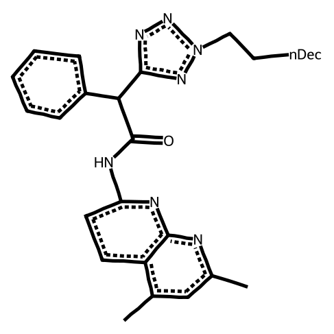 CCCCCCCCCCCCn1nnc(C(C(=O)Nc2ccc3c(C)cc(C)nc3n2)c2ccccc2)n1